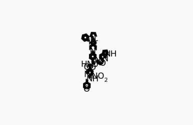 CC(C)c1ccccc1[C@H]1CCCN1C1CC2(CCN(c3ccc(C(=O)NS(=O)(=O)c4cnc(NCC5CCOCC5)c([N+](=O)[O-])c4)c(N4CCOc5nc6[nH]ccc6cc54)c3)CC2)C1